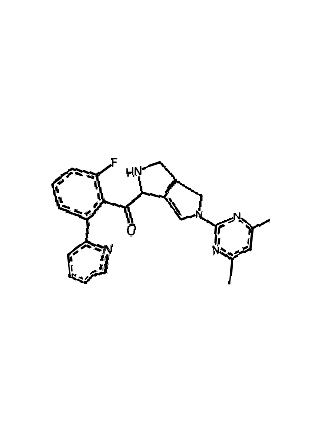 Cc1cc(C)nc(N2C=C3C(CNC3C(=O)c3c(F)cccc3-c3ccccn3)C2)n1